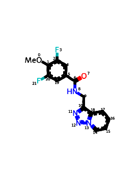 COc1c(F)cc(C(=O)NCc2nnn3ccccc23)cc1F